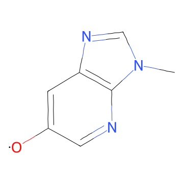 Cn1cnc2cc([O])cnc21